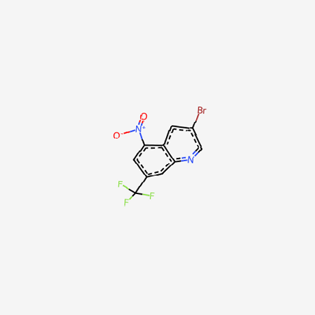 O=[N+]([O-])c1cc(C(F)(F)F)cc2ncc(Br)cc12